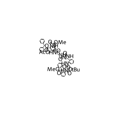 COC(=O)C(COC(=O)Nc1ccccc1C1CN(C(=O)NCC(=O)N[C@@H]2S[C@H]3[C@H](OC)C(=O)N3C(C(=O)OC(c3ccccc3)c3ccccc3)=C2COC(C)=O)C(=O)N1)(c1ccccc1)c1ccccc1NC(=O)OC(C)(C)C